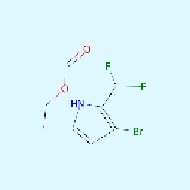 CCOC=O.FC(F)c1[nH]ccc1Br